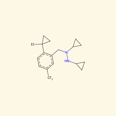 CCC1(c2ccc(C(F)(F)F)cc2CN(NC2CC2)C2CC2)CC1